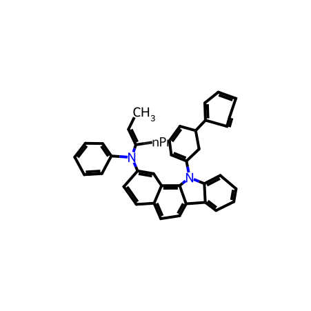 C/C=C(\CCC)N(c1ccccc1)c1ccc2ccc3c4ccccc4n(C4=CC=CC(c5ccccc5)C4)c3c2c1